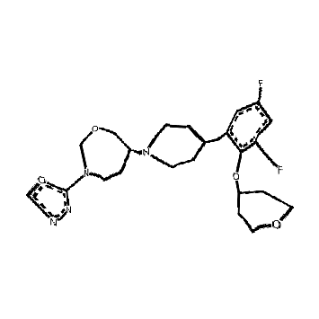 Fc1cc(F)c(OC2CCOCC2)c(C2CCN([C@H]3CCN(c4nnco4)COC3)CC2)c1